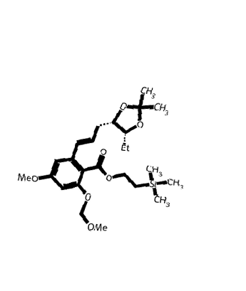 CC[C@H]1OC(C)(C)O[C@H]1C/C=C/c1cc(OC)cc(OCOC)c1C(=O)OCC[Si](C)(C)C